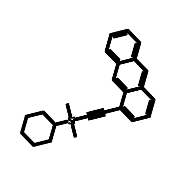 C[Si](C)(C#Cc1cccc2cc3ccccc3cc12)C1CCCCC1